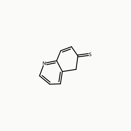 S=C1C=Cc2ncccc2C1